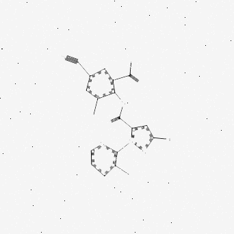 Cc1cc(C#N)cc(C(=O)Cl)c1NC(=O)c1cc(Br)nn1-c1ncccc1Cl